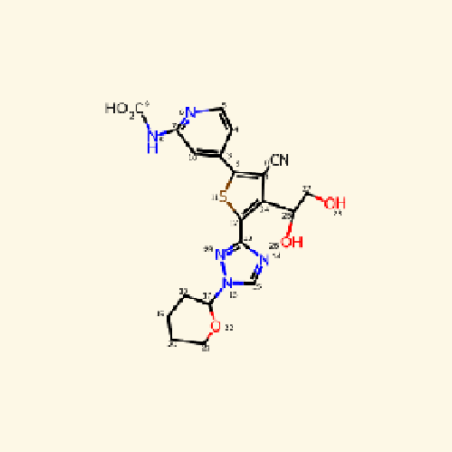 N#Cc1c(-c2ccnc(NC(=O)O)c2)sc(-c2ncn(C3CCCCO3)n2)c1C(O)CO